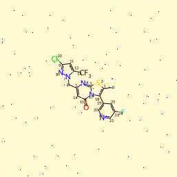 Cc1sc2nc(Cn3nc(Cl)cc3C(F)(F)F)cc(=O)n2c1-c1cncc(F)c1